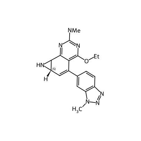 CCOc1nc(NC)nc2c1C(c1ccc3nnn(C)c3c1)=C[C@@H]1NC21